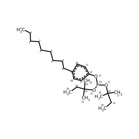 CCCCCCCCCc1ccc(OP(OC(C)(C)CC)OC(C)(C)CC)cc1